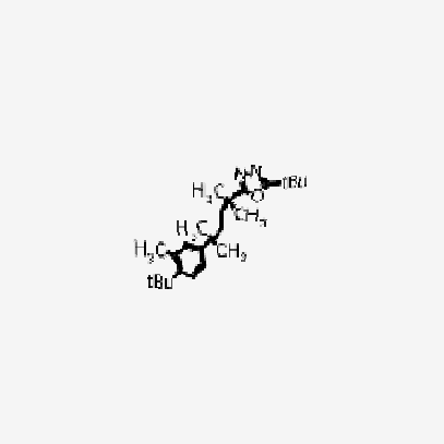 Cc1cc(C(C)(C)CCC(C)(C)c2nnc(C(C)(C)C)o2)ccc1C(C)(C)C